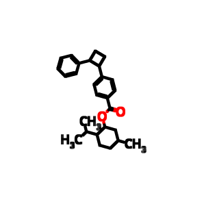 CC1CCC(C(C)C)C(OC(=O)c2ccc(C3CCC3c3ccccc3)cc2)C1